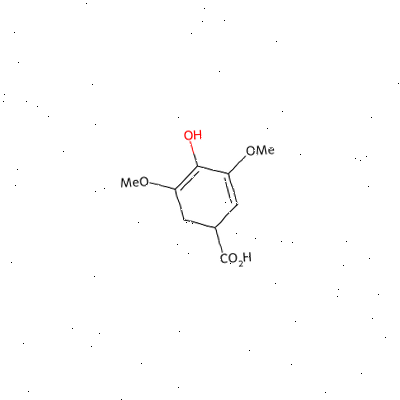 COC1=CC(C(=O)O)CC(OC)=C1O